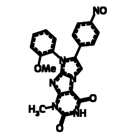 COc1ccccc1-n1c(-c2ccc(N=O)cc2)cn2c3c(=O)[nH]c(=O)n(C)c3nc12